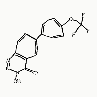 O=c1c2cc(-c3ccc(OC(F)(F)F)cc3)ccc2nnn1O